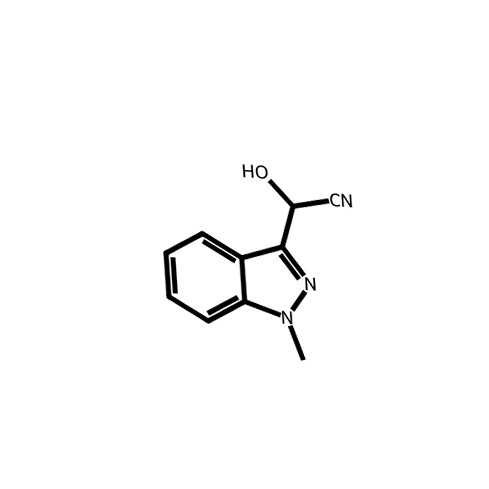 Cn1nc(C(O)C#N)c2ccccc21